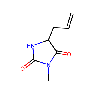 C=CCC1NC(=O)N(C)C1=O